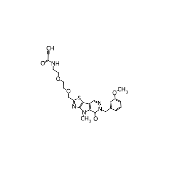 C#CC(=O)NCCOCCOCc1nc2c(s1)c1cnn(Cc3cccc(OC)c3)c(=O)c1n2C